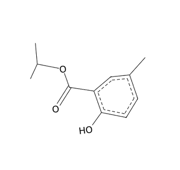 Cc1ccc(O)c(C(=O)OC(C)C)c1